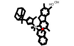 Cl.Cl.[CH2]=[Zr]([CH3])([C]1=CC(C2(C)C3CC4CC(C3)CC2C4)=CC1C)([c]1ccc2ccccc2c1)[c]1c(C)c(C)cc2c1Cc1cc(C)c(C)cc1-2